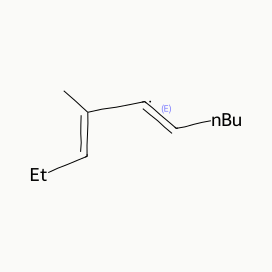 CCC=C(C)/[C]=C/CCCC